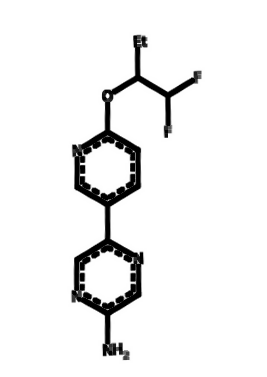 CCC(Oc1ccc(-c2cnc(N)cn2)cn1)C(F)F